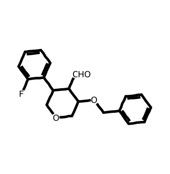 O=CC1C(OCc2ccccc2)COCC1c1ccccc1F